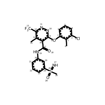 Cc1c(Cl)cccc1Oc1nnc(C(F)(F)F)c(C)c1C(=O)Nc1cccc(S(C)(=N)=O)c1